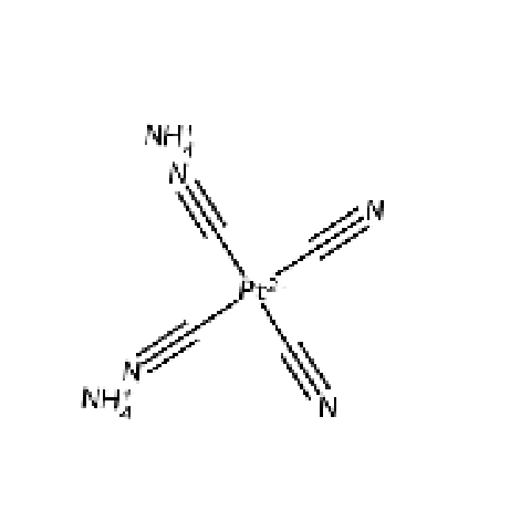 N#[C][Pt-2]([C]#N)([C]#N)[C]#N.[NH4+].[NH4+]